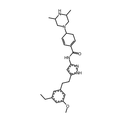 CCc1cc(CCc2cc(NC(=O)C3=CCC(N4CC(C)NC(C)C4)C=C3)n[nH]2)cc(OC)c1